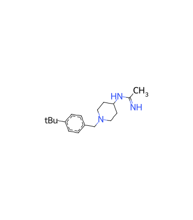 CC(=N)NC1CCN(Cc2ccc(C(C)(C)C)cc2)CC1